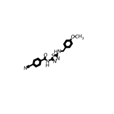 COc1ccc(CNc2nnc(NC(=O)c3ccc(C#N)cc3)s2)cc1